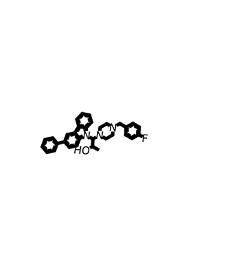 CC(O)C(N1CCN(Cc2ccc(F)cc2)CC1)n1c2ccccc2c2cc(-c3ccccc3)ccc21